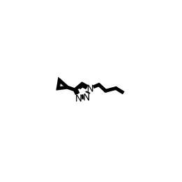 CCCCn1cc(C2CC2)nn1